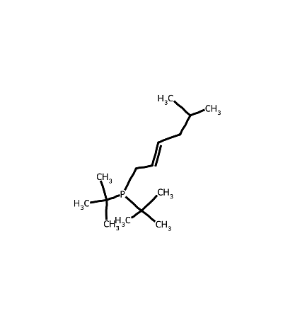 CC(C)CC=CCP(C(C)(C)C)C(C)(C)C